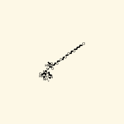 CC(=O)N[C@@H](CSc1nc2c(=O)[nH]c(N)nc2n1Cc1cncs1)C(=O)NCCOCCOCCOCCOCCOCCCCCCCl